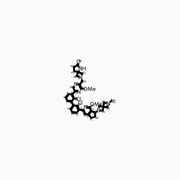 COc1nc(-c2cccc(-c3cccc(-c4cc5c(c(OC)n4)C(N4CC6(CN(C(C)=O)C6)C4)CC5)c3Cl)c2Cl)cnc1CN1CC2(CCC(=O)N2)C1